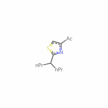 CCCC(CCC)c1nc(C(C)=O)cs1